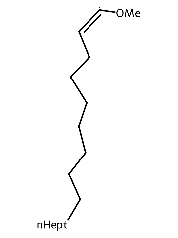 CCCCCCCCCCCCCC/C=[C]\OC